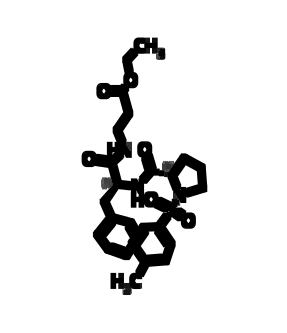 CCOC(=O)CCNC(=O)[C@H](Cc1ccccc1)NC(=O)[C@@H]1CCCN1S(=O)(=O)c1ccc(C)cc1